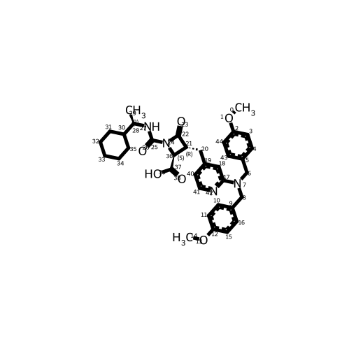 COc1ccc(CN(Cc2ccc(OC)cc2)c2cc(C[C@H]3C(=O)N(C(=O)N[C@H](C)C4CCCCC4)[C@@H]3C(=O)O)ccn2)cc1